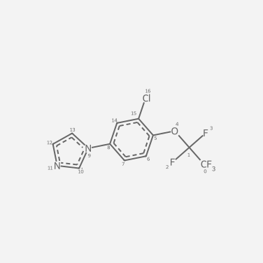 FC(F)(F)C(F)(F)Oc1ccc(-n2[c]ncc2)cc1Cl